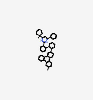 Cc1ccc2c3ccc(-c4ccccc4-c4ccccc4-c4nc(-c5ccccc5)cc(C5(C)C=CC=CC5)n4)cc3c3ccccc3c2c1